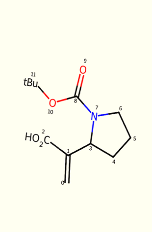 C=C(C(=O)O)C1CCCN1C(=O)OC(C)(C)C